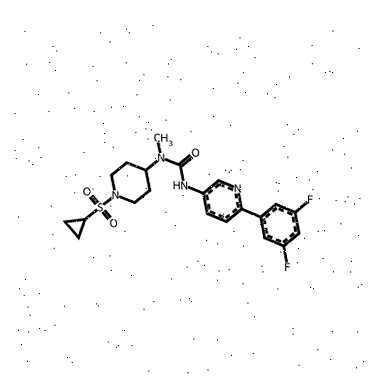 CN(C(=O)Nc1ccc(-c2cc(F)cc(F)c2)nc1)C1CCN(S(=O)(=O)C2CC2)CC1